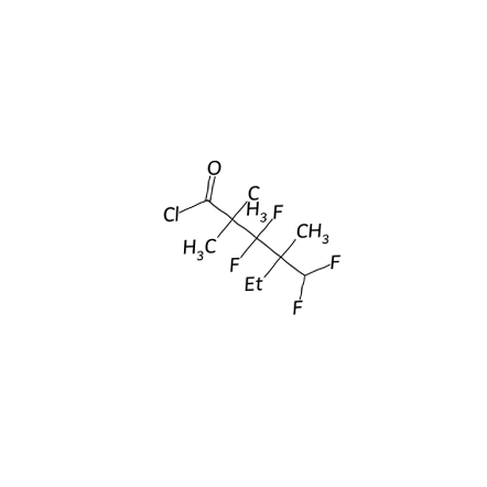 CCC(C)(C(F)F)C(F)(F)C(C)(C)C(=O)Cl